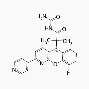 CC(C)(C(=O)NC(N)=O)[C@@H]1c2ccc(-c3ccncc3)nc2Oc2c(F)cccc21